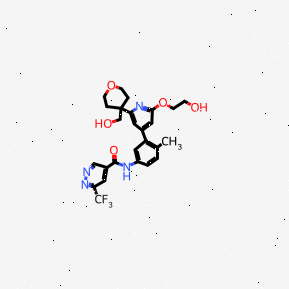 Cc1ccc(NC(=O)c2cnnc(C(F)(F)F)c2)cc1-c1cc(OCCO)nc(C2(CO)CCOCC2)c1